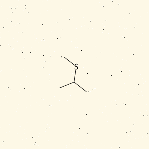 [CH2]SC([CH2])C